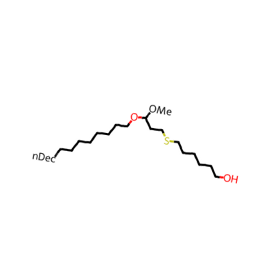 CCCCCCCCCCCCCCCCCCOC(CCSCCCCCCO)OC